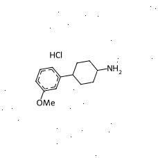 COc1cccc(C2CCC(N)CC2)c1.Cl